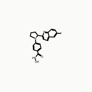 O=C(NO)c1ccc(N2CCCC2c2ccc3cc(F)ccc3n2)cc1